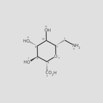 NC[C@@H]1O[C@H](C(=O)O)[C@@H](O)[C@H](O)C1O